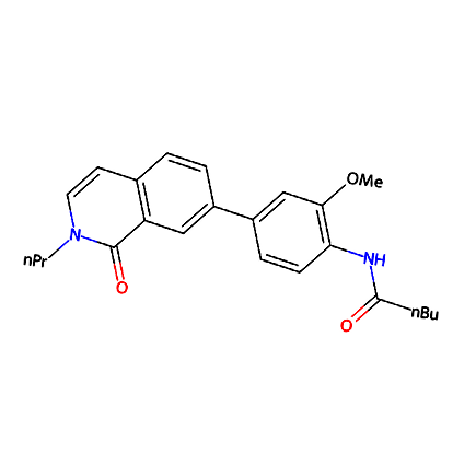 CCCCC(=O)Nc1ccc(-c2ccc3ccn(CCC)c(=O)c3c2)cc1OC